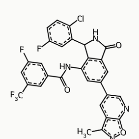 Cc1noc2ncc(-c3cc(NC(=O)c4cc(F)cc(C(F)(F)F)c4)c4c(c3)C(=O)NC4c3cc(F)ccc3Cl)cc12